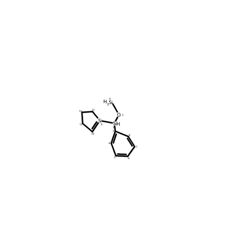 [SiH3]O[SiH](c1ccccc1)[Si]1=CCCC1